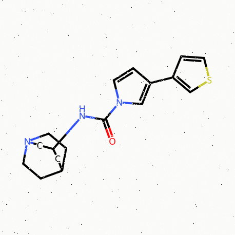 O=C(NC1CC2CCN(CC2)C1)n1ccc(-c2ccsc2)c1